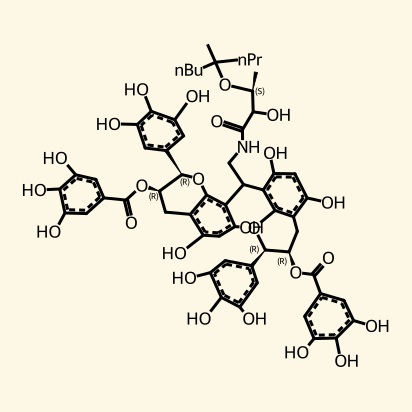 CCCCC(C)(CCC)O[C@@H](C)C(O)C(=O)NCC(c1c(O)cc(O)c2c1O[C@H](c1cc(O)c(O)c(O)c1)[C@H](OC(=O)c1cc(O)c(O)c(O)c1)C2)c1c(O)cc(O)c2c1O[C@H](c1cc(O)c(O)c(O)c1)[C@H](OC(=O)c1cc(O)c(O)c(O)c1)C2